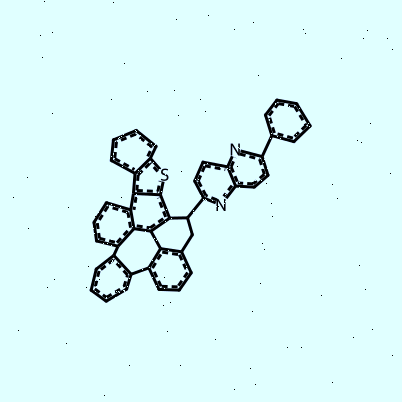 c1ccc(-c2ccc3nc(C4Cc5cccc6c5-c5c4c4sc7ccccc7c4c4cccc(c54)-c4ccccc4-6)ccc3n2)cc1